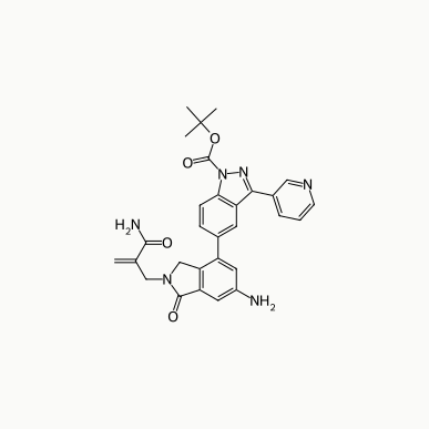 C=C(CN1Cc2c(cc(N)cc2-c2ccc3c(c2)c(-c2cccnc2)nn3C(=O)OC(C)(C)C)C1=O)C(N)=O